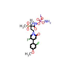 COc1ccc(-c2cc(=O)n(CCC(C)(C(=O)NOP(=O)(ON)OI)S(C)(=O)=O)cc2F)c(F)c1